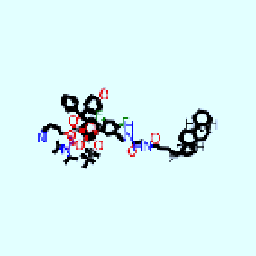 COc1ccc(C(OC[C@H]2O[C@@H](c3cc(CNC(=O)CNC(=O)CC[C@@H](C)C4CC[C@@H]5C6CC[C@H]7CCCC[C@@]7(C)[C@@H]6CC[C@@]45C)c(F)cc3F)C(O[Si](C)(C)C(C)(C)C)[C@H]2OP(OCCCC#N)N(C(C)C)C(C)C)(c2ccccc2)c2ccccc2)cc1